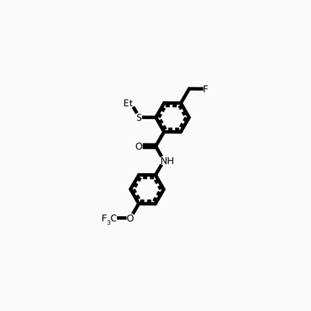 CCSc1cc(CF)ccc1C(=O)Nc1ccc(OC(F)(F)F)cc1